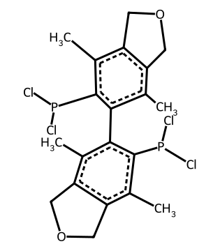 Cc1c2c(c(C)c(P(Cl)Cl)c1-c1c(C)c3c(c(C)c1P(Cl)Cl)COC3)COC2